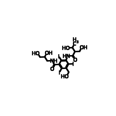 CC(O)C(CO)C(=O)Nc1c(I)c(CO)c(I)c(C(=O)NCC(O)CO)c1I